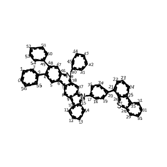 c1ccc(-c2cc3c4cc5c6ccccc6n(-c6ccc(-c7cccc8c7sc7ccccc78)cc6)c5cc4n(-c4ccccc4)c3cc2-c2ccccc2)cc1